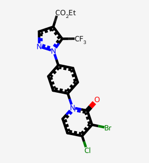 CCOC(=O)c1cnn(-c2ccc(-n3ccc(Cl)c(Br)c3=O)cc2)c1C(F)(F)F